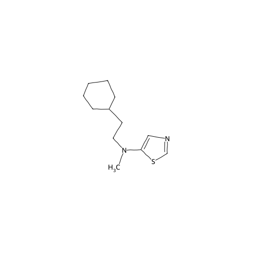 CN(CCC1CCCCC1)c1cncs1